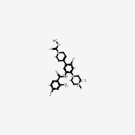 CC(C)OC(=O)N1CC=C(c2cc(NC(=O)c3ccc(F)cc3C(F)(F)F)c(N3CCN(C)[C@@H](C)C3)cc2F)CC1